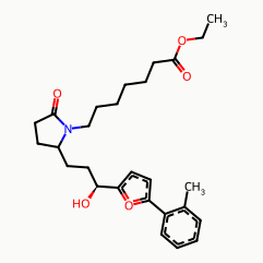 CCOC(=O)CCCCCCN1C(=O)CCC1CC[C@H](O)c1ccc(-c2ccccc2C)o1